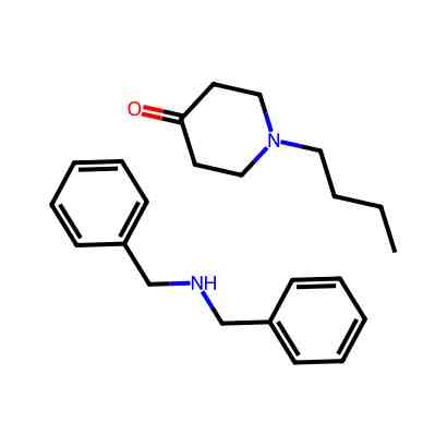 CCCCN1CCC(=O)CC1.c1ccc(CNCc2ccccc2)cc1